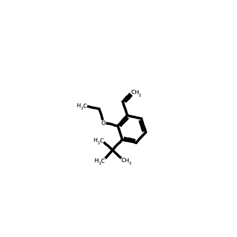 C=[C]c1cccc(C(C)(C)C)c1OCC